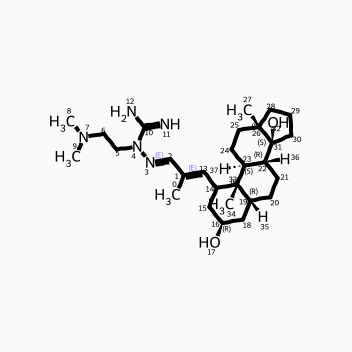 CC(/C=N/N(CCN(C)C)C(=N)N)=C\C1C[C@H](O)C[C@H]2CC[C@@H]3[C@H](CC[C@]4(C)CCC[C@]34O)[C@@]12C